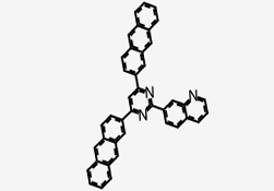 c1ccc2cc3cc(-c4cc(-c5ccc6cc7ccccc7cc6c5)nc(-c5ccc6cccnc6c5)n4)ccc3cc2c1